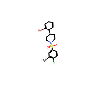 O=[N+]([O-])c1cc(S(=O)(=O)N2CCC(C3C=CCC=C3Br)CC2)ccc1Cl